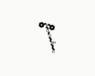 O=CCCCNCCCOCCOCCN(Cc1ccccc1)Cc1ccccc1